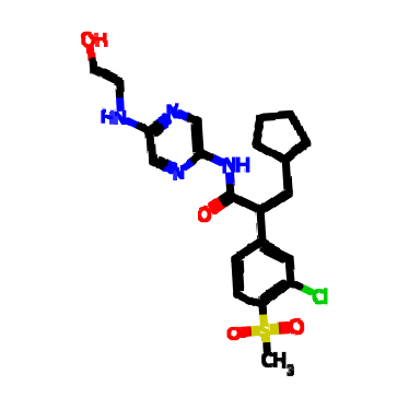 CS(=O)(=O)c1ccc(C(CC2CCCC2)C(=O)Nc2cnc(NCCO)cn2)cc1Cl